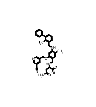 Cc1cc(CNC(CC(N)=O)C(=O)O)c(OCc2cncc(C#N)c2)cc1NCc1cccc(-c2ccccc2)c1C